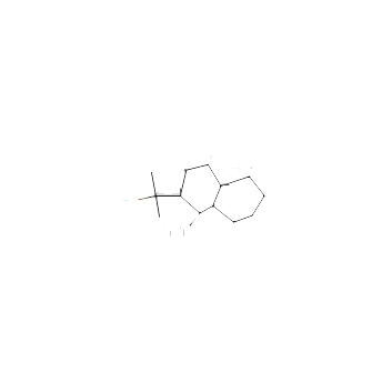 CCC[C@@H]1C2CCCC[C@@H]2CCC1C(C)(C)Br